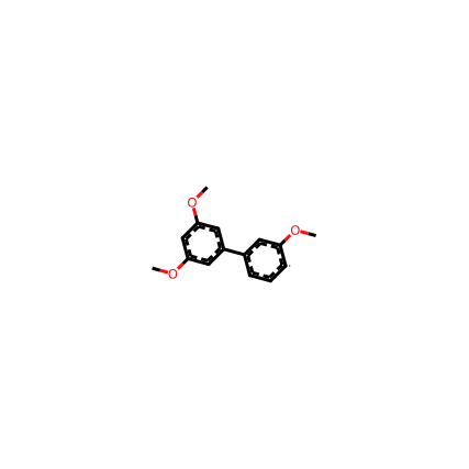 COc1[c]ccc(-c2cc(OC)cc(OC)c2)c1